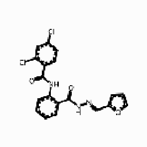 O=C(Nc1ccccc1C(=O)N/N=C/c1ccco1)c1ccc(Cl)cc1Cl